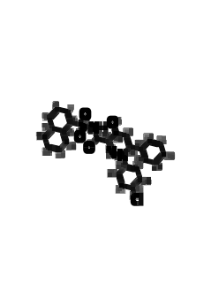 O=C(NS(=O)(=O)c1cccc2ccccc12)c1nn(-c2ccc(Cl)cc2)c(-c2ccccc2)cc1=O